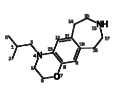 CC(C)CN1CCOc2cc3c(cc21)CCNCC3